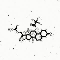 CC(=O)OCC(=O)[C@@]1(O)[C@H](C)C[C@H]2[C@@H]3CCC4=CC(=O)CC[C@]4(C)[C@@]3(F)[C@@H](OC(=O)C(F)(F)F)C[C@@]21C